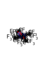 C=C/C(=C\C(=C/C(F)(F)F)c1ccc(-n2c3ccc(-c4cc(C(F)(F)F)cc(C(F)(F)F)c4)cc3c3cc(-c4cc(C(F)(F)F)cc(C(F)(F)F)c4)ccc32)c(-c2ccc(C#N)cc2-n2c3ccc(-c4cc(C(F)(F)F)cc(C(F)(F)F)c4)cc3c3cc(-c4cc(C(F)(F)F)cc(C(F)(F)F)c4)ccc32)c1)C(F)(F)F